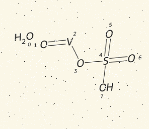 O.[O]=[V][O]S(=O)(=O)O